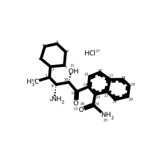 CC(C1CCCCC1)[C@@H](N)[C@H](O)C(=O)c1ccc2ccccc2c1C(N)=O.Cl